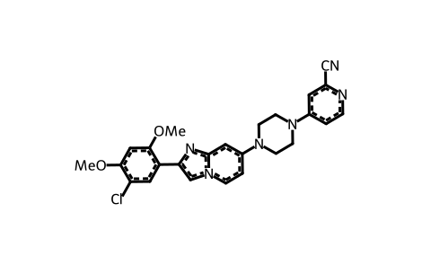 COc1cc(OC)c(-c2cn3ccc(N4CCN(c5ccnc(C#N)c5)CC4)cc3n2)cc1Cl